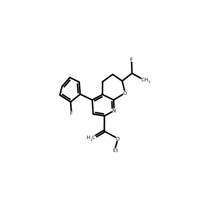 C=C(OCC)c1cc(-c2ccccc2F)c2c(n1)OC(C(C)F)CC2